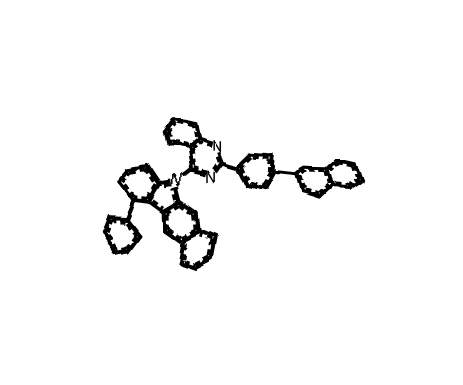 c1ccc(-c2cccc3c2c2cc4ccccc4cc2n3-c2nc(-c3ccc(-c4ccc5ccccc5c4)cc3)nc3ccccc23)cc1